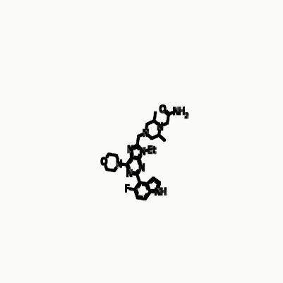 CCn1c(CN2CC(C)N(CC(N)=O)C(C)C2)nc2c(N3CCOCC3)nc(-c3c(F)ccc4[nH]ccc34)nc21